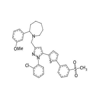 COc1cccc(C2CCCCCN2Cc2cc(-c3ccc(-c4cccc(S(C)(=O)=O)c4)s3)n(-c3ccccc3Cl)n2)c1